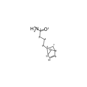 NC(=O)CCCC1CC2C=CC1C2